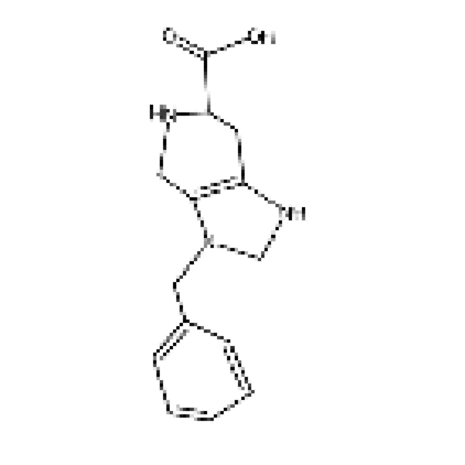 O=C(O)C1CC2=C(CN1)N(Cc1ccccc1)CN2